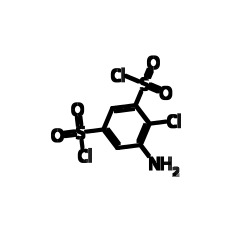 Nc1cc(S(=O)(=O)Cl)cc(S(=O)(=O)Cl)c1Cl